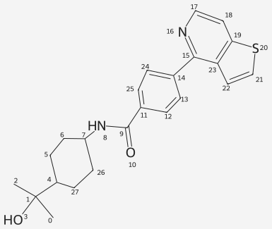 CC(C)(O)C1CCC(NC(=O)c2ccc(-c3nccc4sccc34)cc2)CC1